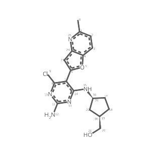 Cc1ccc2oc(-c3c(Cl)nc(N)nc3N[C@H]3CC[C@@H](CO)C3)cc2n1